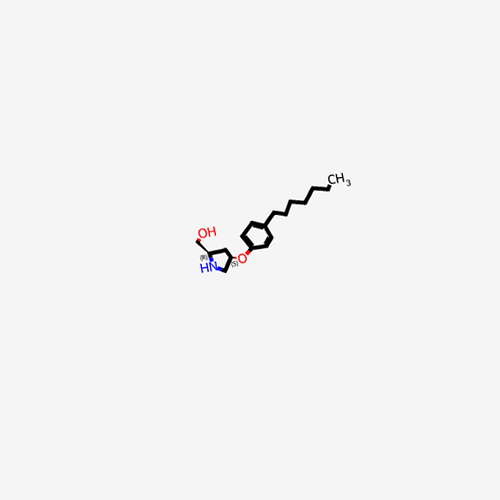 CCCCCCCc1ccc(O[C@@H]2CN[C@@H](CO)C2)cc1